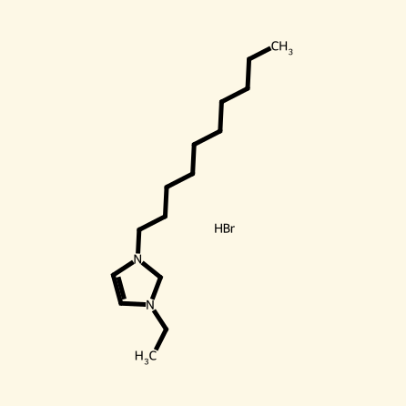 Br.CCCCCCCCCCN1C=CN(CC)C1